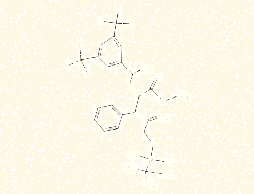 C=C(CO[Si](C)(C)C(C)(C)C)[C@H](c1ccccc1)[C@H](O[C@H](C)c1cc(C(F)(F)F)cc(C(F)(F)F)c1)C(=O)OC